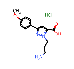 COc1ccc(-c2cc(C(=O)O)n(CCCN)n2)cc1.Cl